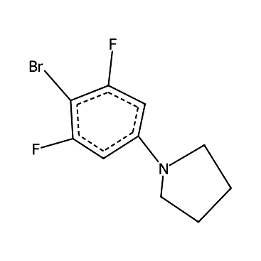 Fc1cc(N2CCCC2)cc(F)c1Br